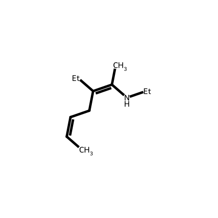 C/C=C\C/C(CC)=C(/C)NCC